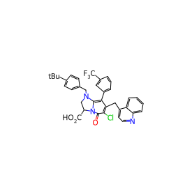 CC(C)(C)c1ccc(CN2CC(C(=O)O)n3c2c(-c2cccc(C(F)(F)F)c2)c(Cc2ccnc4ccccc24)c(Cl)c3=O)cc1